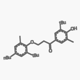 CCCCc1cc(C)c(OCCC(=O)c2cc(C)c(O)c(C(C)(C)C)c2)c(C(C)(C)C)c1